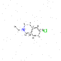 CCN1CCc2cc(Cl)ccc2C1